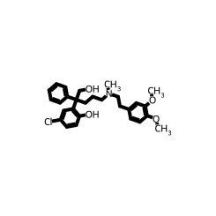 COc1ccc(CCN(C)CCCC(CO)(c2ccccc2)c2cc(Cl)ccc2O)cc1OC